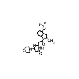 C[C@H]1Cc2c(OC(F)F)cccc2N1C(=O)Cc1nc(N2CCOCC2)cc(=O)[nH]1